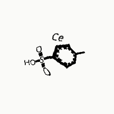 Cc1ccc(S(=O)(=O)O)cc1.[Ce]